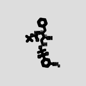 CC(C)(C)OC(=O)N[C@@H](Cc1ccccc1)[C@H](O)CNOC(C)(C)S(=O)(=O)c1cccc(N)c1